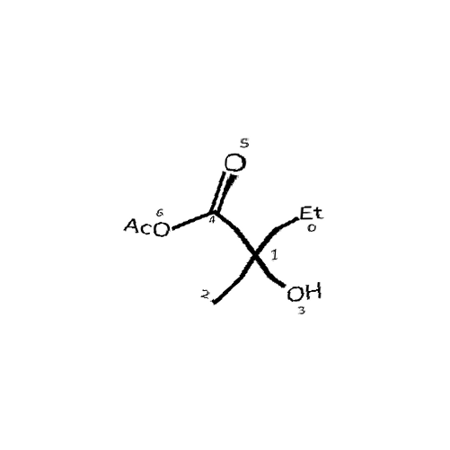 CCC(C)(O)C(=O)OC(C)=O